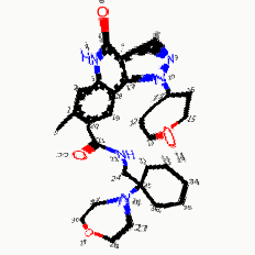 Cc1cc2[nH]c(=O)c3cnn(C4CCOCC4)c3c2cc1C(=O)NCC1(N2CCOCC2)CCCCC1